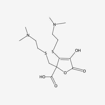 CN(C)CCSCC1(C(=O)O)OC(=O)C(O)=C1SCCN(C)C